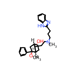 CO[C@@]1(c2ccccc2)C[C@@H]2CC[C@H]1C[C@]2(O)CCN(C)CCCc1nc2ccccc2[nH]1